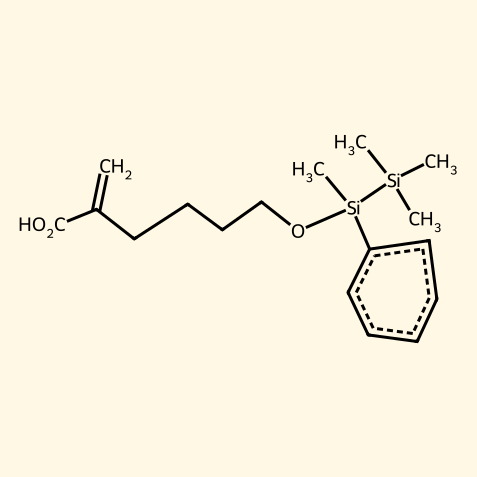 C=C(CCCCO[Si](C)(c1ccccc1)[Si](C)(C)C)C(=O)O